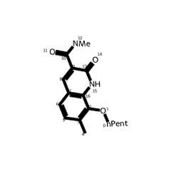 CCCCCOc1c(C)ccc2cc(C(=O)NC)c(=O)[nH]c12